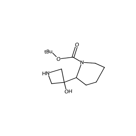 CC(C)(C)OC(=O)N1CCCCC1C1(O)CNC1